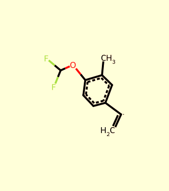 C=[C]c1ccc(OC(F)F)c(C)c1